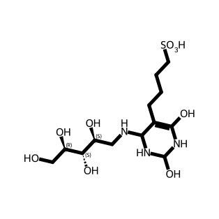 O=S(=O)(O)CCCCC1=C(O)NC(O)NC1NC[C@H](O)[C@H](O)[C@H](O)CO